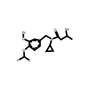 CCOc1cc(CN(C(=O)CC(C)S)C2CC2)ccc1OC(F)F